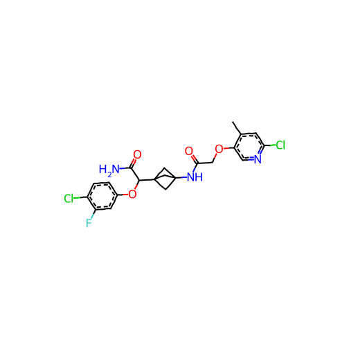 Cc1cc(Cl)ncc1OCC(=O)NC12CC(C(Oc3ccc(Cl)c(F)c3)C(N)=O)(C1)C2